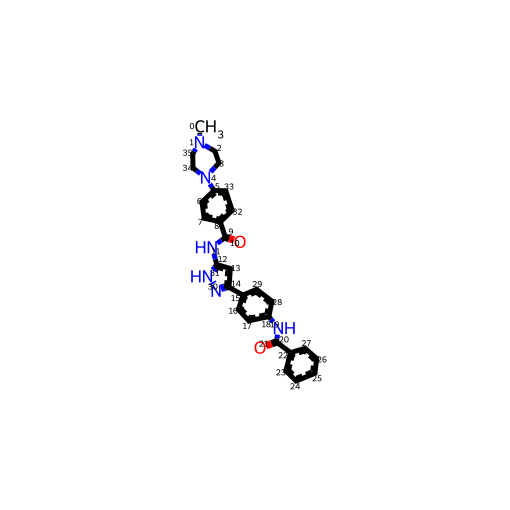 CN1CCN(c2ccc(C(=O)Nc3cc(-c4ccc(NC(=O)c5ccccc5)cc4)n[nH]3)cc2)CC1